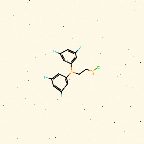 Fc1cc(F)cc(P(CCPCl)c2cc(F)cc(F)c2)c1